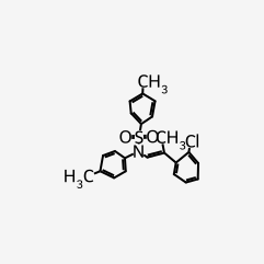 CC(=CN(c1ccc(C)cc1)S(=O)(=O)c1ccc(C)cc1)c1ccccc1Cl